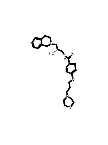 O=C(NC[C@H](O)CN1CCc2ccccc2C1)c1ccc(OCCCN2CCOCC2)cc1